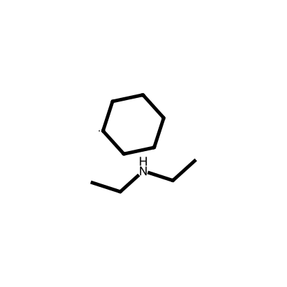 CCNCC.[CH]1CCCCC1